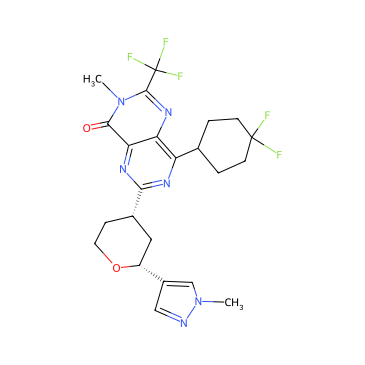 Cn1cc([C@H]2C[C@@H](c3nc(C4CCC(F)(F)CC4)c4nc(C(F)(F)F)n(C)c(=O)c4n3)CCO2)cn1